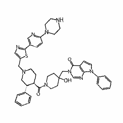 O=C([C@@H]1CCN(Cc2cnc(-c3ccc(N4CCNCC4)nc3)s2)C[C@H]1c1ccccc1)N1CCC(O)(Cn2cnc3c(ccn3-c3ccccc3)c2=O)CC1